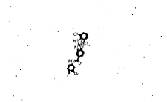 O=C(Nc1ccc(F)c(Br)c1)c1ccc2[nH]c(Nc3c(Cl)cccc3Cl)nc2c1